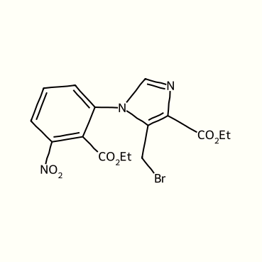 CCOC(=O)c1ncn(-c2cccc([N+](=O)[O-])c2C(=O)OCC)c1CBr